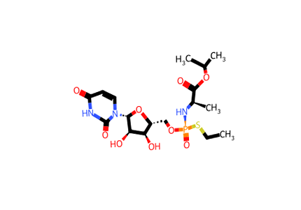 CCS[P@@](=O)(N[C@H](C)C(=O)OC(C)C)OC[C@H]1O[C@@H](n2ccc(=O)[nH]c2=O)[C@H](O)[C@@H]1O